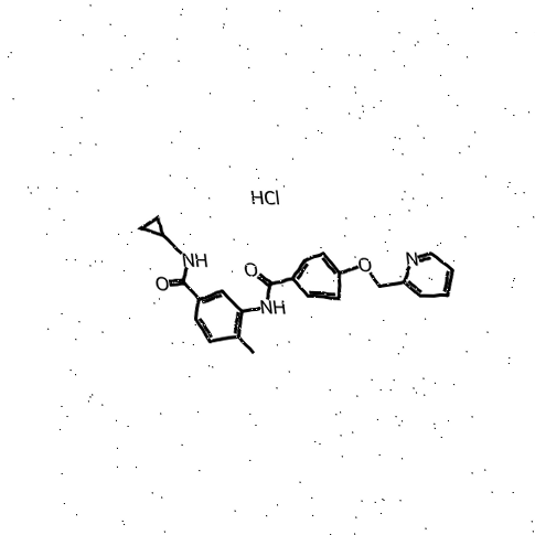 Cc1ccc(C(=O)NC2CC2)cc1NC(=O)c1ccc(OCc2ccccn2)cc1.Cl